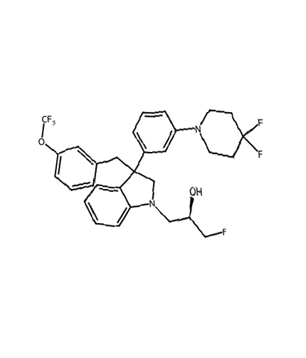 O[C@@H](CF)CN1CC(Cc2cccc(OC(F)(F)F)c2)(c2cccc(N3CCC(F)(F)CC3)c2)c2ccccc21